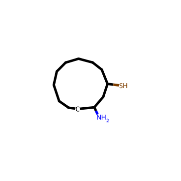 NC1CCCCCCCCCC(S)C1